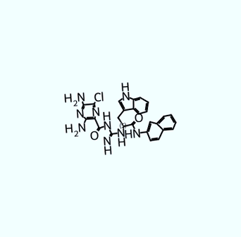 N=C(NC(=O)c1nc(Cl)c(N)nc1N)N[C@@H](Cc1c[nH]c2ccccc12)C(=O)Nc1ccc2ccccc2c1